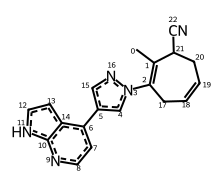 CC1=C(n2cc(-c3ccnc4[nH]ccc34)cn2)CC=CCC1C#N